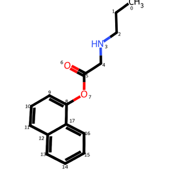 CCCNCC(=O)Oc1cccc2ccccc12